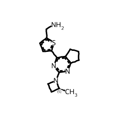 C[C@H]1CCN1c1nc2c(c(-c3ccc(CN)s3)n1)CCC2